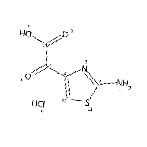 Cl.Nc1nc(C(=O)C(=O)O)cs1